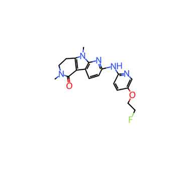 CN1CCc2c(c3ccc(Nc4ccc(OCCF)cn4)nc3n2C)C1=O